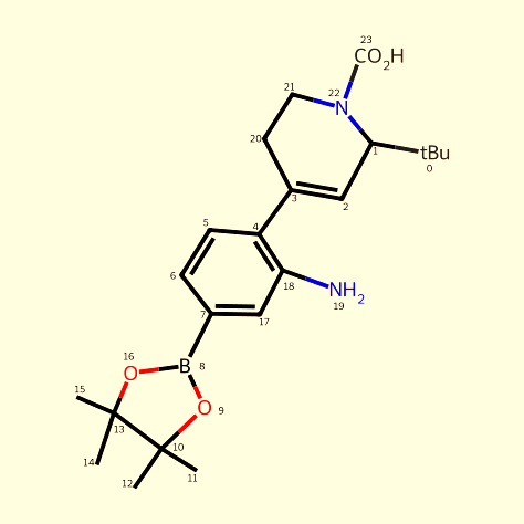 CC(C)(C)C1C=C(c2ccc(B3OC(C)(C)C(C)(C)O3)cc2N)CCN1C(=O)O